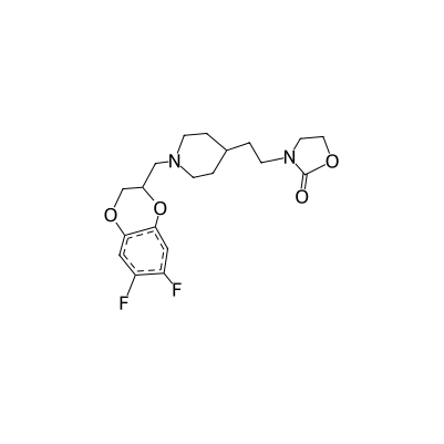 O=C1OCCN1CCC1CCN(CC2COc3cc(F)c(F)cc3O2)CC1